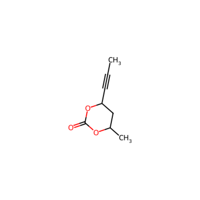 CC#CC1CC(C)OC(=O)O1